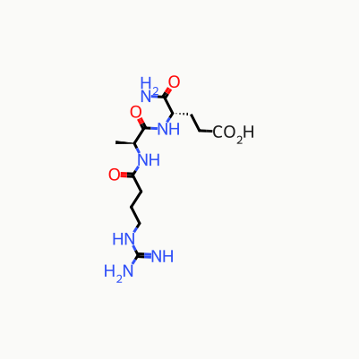 C[C@H](NC(=O)CCCNC(=N)N)C(=O)N[C@@H](CCC(=O)O)C(N)=O